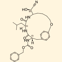 CC(C)C[C@@H]1NC(=O)[C@@H](NC(=O)OCc2ccccc2)Cc2ccc(cc2)OCCCCC([C@@H](O)C#N)NC1=O